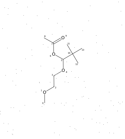 COCCOC(OC(C)=O)C(C)(C)C